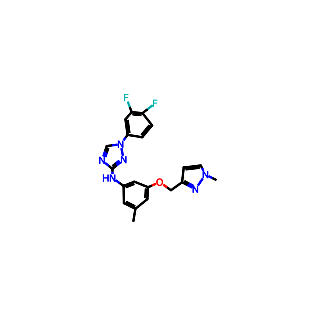 Cc1cc(Nc2ncn(-c3ccc(F)c(F)c3)n2)cc(OCc2ccn(C)n2)c1